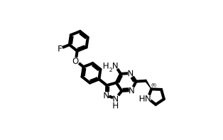 Nc1nc(C[C@H]2CCCN2)nc2[nH]nc(-c3ccc(Oc4ccccc4F)cc3)c12